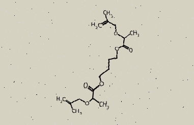 C=C(C)COC(C)C(=O)OCCCCOC(=O)C(C)OCC(=C)C